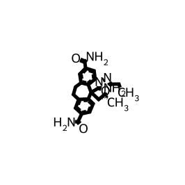 CCc1nnc(C2(C[C@H](C)N)c3ccc(C(N)=O)cc3CCc3cc(C(N)=O)ccc32)o1